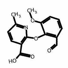 COc1cccc(C=O)c1Oc1nc(C)ccc1C(=O)O